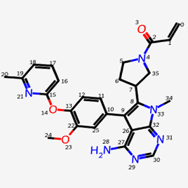 C=CC(=O)N1CCC(c2c(-c3ccc(Oc4cccc(C)n4)c(OC)c3)c3c(N)ncnc3n2C)C1